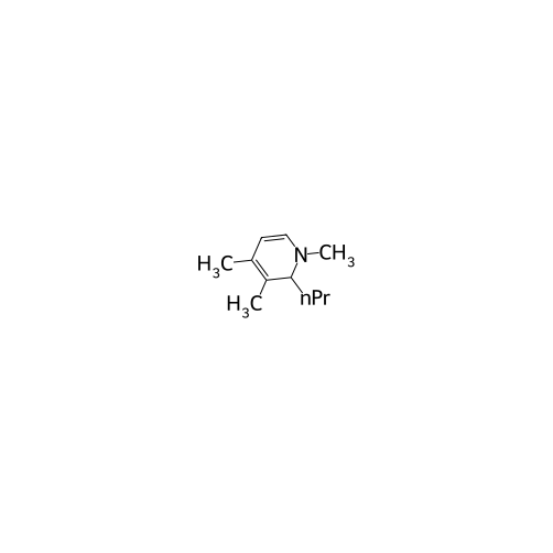 CCCC1C(C)=C(C)C=CN1C